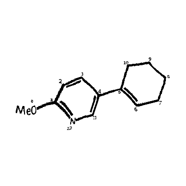 COc1ccc(C2=CCCCC2)cn1